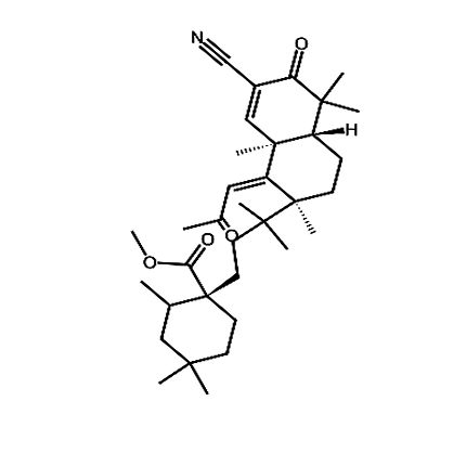 COC(=O)[C@]1(CCC(C)(C)[C@]2(C)CC[C@H]3C(C)(C)C(=O)C(C#N)=C[C@]3(C)/C2=C/C(C)=O)CCC(C)(C)CC1C